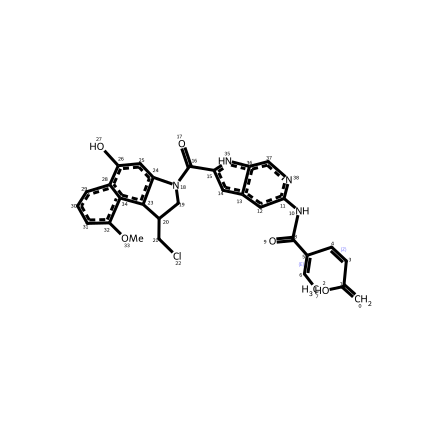 C=C(O)/C=C\C(=C/C)C(=O)Nc1cc2cc(C(=O)N3CC(CCl)c4c3cc(O)c3cccc(OC)c43)[nH]c2cn1